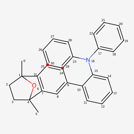 CC12CCC(C)(O1)c1cc(-c3ccccc3N(c3ccccc3)c3ccccc3)ccc12